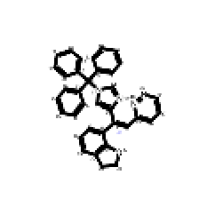 C(=C(/c1cn(C(c2ccccc2)(c2ccccc2)c2ccccc2)cn1)c1cccc2c1OCC2)/c1cccnn1